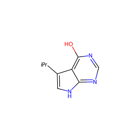 CC(C)c1c[nH]c2ncnc(O)c12